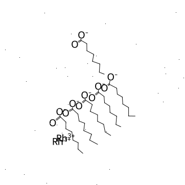 CCCCCCCC(=O)[O-].CCCCCCCC(=O)[O-].CCCCCCCC(=O)[O-].CCCCCCCC(=O)[O-].CCCCCCCC(=O)[O-].CCCCCCCC(=O)[O-].[Rh+3].[Rh+3]